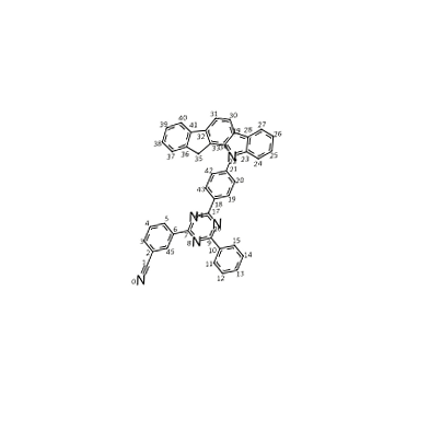 N#Cc1cccc(-c2nc(-c3ccccc3)nc(-c3ccc(-n4c5ccccc5c5ccc6c(c54)Cc4ccccc4-6)cc3)n2)c1